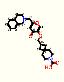 O=C(O)N1CCC2(CC1)CC(COc1coc(CN3CCc4ccccc4C3)cc1=O)C2